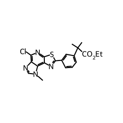 CCOC(=O)C(C)(C)c1cccc(-c2nc3c(nc(Cl)c4ncn(C)c43)s2)c1